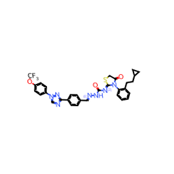 O=C(/N=C1\SCC(=O)N1c1ccccc1CCC1CC1)N/N=C/c1ccc(-c2ncn(-c3ccc(OC(F)(F)F)cc3)n2)cc1